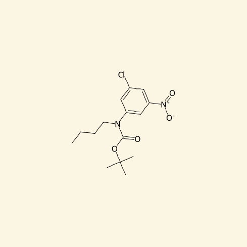 CCCCN(C(=O)OC(C)(C)C)c1cc(Cl)cc([N+](=O)[O-])c1